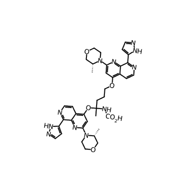 C[C@@H]1COCCN1c1cc(OCCCC(C)(NC(=O)O)Oc2cc(N3CCOC[C@H]3C)nc3c(-c4ccn[nH]4)nccc23)c2ccnc(-c3ccn[nH]3)c2n1